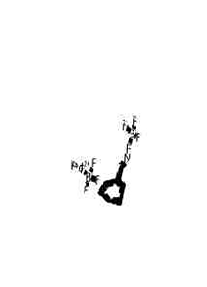 F[B-](F)(F)F.F[B-](F)(F)F.N#Cc1ccccc1.[Pd+2]